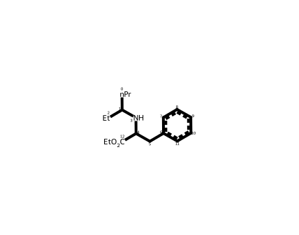 CCCC(CC)NC(Cc1ccccc1)C(=O)OCC